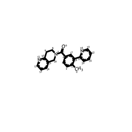 Cc1ccc(C(=O)N2CCc3ncccc3C2)cc1-c1ccccn1